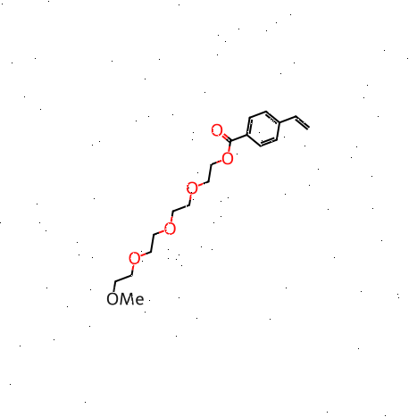 C=Cc1ccc(C(=O)OCCOCCOCCOCCOC)cc1